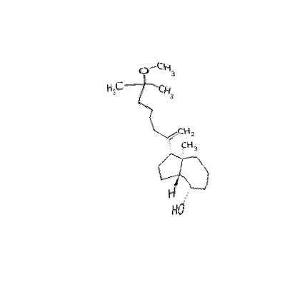 C=C(CCCC(C)(C)OC)[C@H]1CC[C@H]2[C@@H](O)CCC[C@]12C